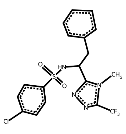 Cn1c(C(Cc2ccccc2)NS(=O)(=O)c2ccc(Cl)cc2)nnc1C(F)(F)F